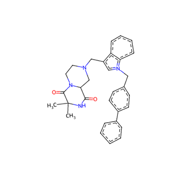 CC1(C)NC(=O)C2CN(Cc3cn(Cc4ccc(-c5ccccc5)cc4)c4ccccc34)CCN2C1=O